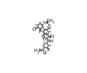 CC[C@@H](C(=O)Nc1ccc(C(N)=O)c(F)c1)n1cc2c(cc1=O)-c1c(ccc(Cl)c1F)C[C@@H](C)CO2